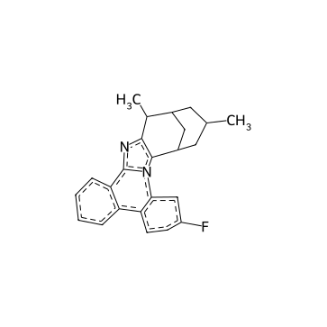 CC1CC2CC(C1)C(C)c1nc3c4ccccc4c4ccc(F)cc4n3c12